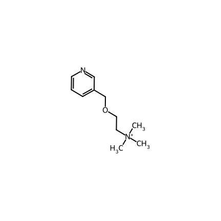 C[N+](C)(C)CCOCc1cccnc1